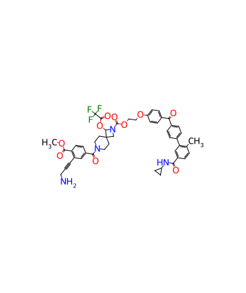 COC(=O)c1ccc(C(=O)N2CCC3(CC2)CN(C(=O)OCCOc2ccc(C(=O)c4ccc(-c5cc(C(=O)NC6CC6)ccc5C)cc4)cc2)C3OC(=O)C(F)(F)F)cc1C#CCN